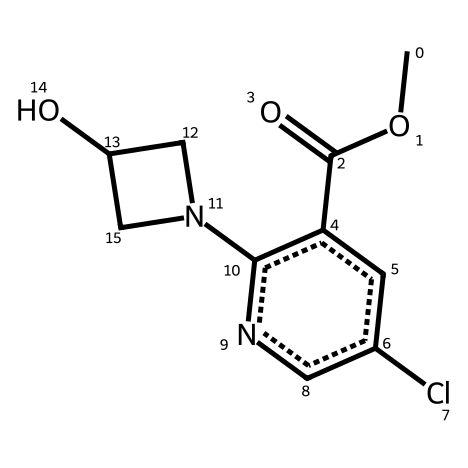 COC(=O)c1cc(Cl)cnc1N1CC(O)C1